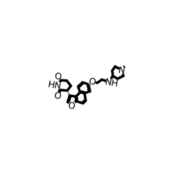 CN1CCC(NCCOc2ccc3c(ccc4occ([C@H]5CCC(=O)NC5=O)c43)c2)CC1